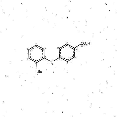 CC(C)(C)c1ccccc1Oc1ccc(C(=O)O)cc1